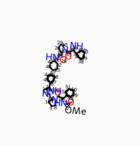 COC(=O)N[C@@H](C(=O)N1CCC[C@H]1c1ncc(-c2ccc([C@H]3CC[C@H](NC(=O)[C@@H]4CCCN4C(=O)[C@H](N)c4ccccc4)CC3)cc2)[nH]1)c1ccccc1